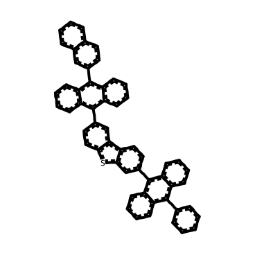 c1ccc(-c2c3ccccc3c(-c3ccc4c(c3)sc3ccc(-c5c6ccccc6c(-c6ccc7ccccc7c6)c6ccccc56)cc34)c3ccccc23)cc1